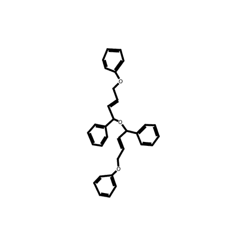 C(=CC(OC(C=CCOc1ccccc1)c1ccccc1)c1ccccc1)COc1ccccc1